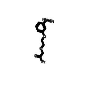 CC(C)C(=O)COCCOc1cccc(NS)c1